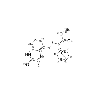 Cc1nc2c(CCN(C(=O)OC(C)(C)C)C34CCC(CC3)OC4)cccc2[nH]c1=O